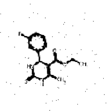 CCOC(=O)C1=C(C)NC(=S)NC1c1cccc(F)c1